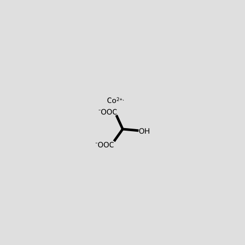 O=C([O-])C(O)C(=O)[O-].[Co+2]